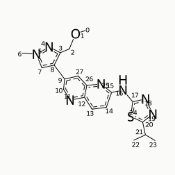 COCc1nn(C)cc1-c1cnc2ccc(Nc3nnc(C(C)C)s3)nc2c1